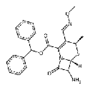 CO/N=C/C1=C(C(=O)OC(c2ccccc2)c2ccccc2)N2C(=O)C(N)[C@H]2S[C@@H]1C